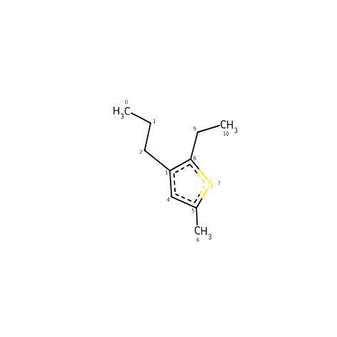 CCCc1cc(C)sc1CC